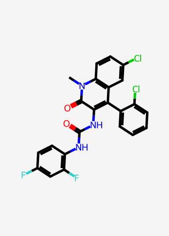 Cn1c(=O)c(NC(=O)Nc2ccc(F)cc2F)c(-c2ccccc2Cl)c2cc(Cl)ccc21